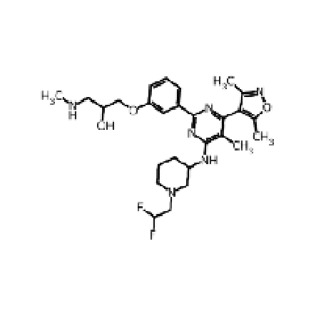 CNCC(O)COc1cccc(-c2nc(NC3CCCN(CC(F)F)C3)c(C)c(-c3c(C)noc3C)n2)c1